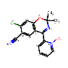 CC1(C)N=C(c2cccc[n+]2[O-])c2cc(C#N)c(Cl)cc2O1